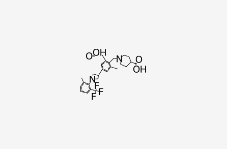 Cc1cc(C2CN(c3c(C)cccc3C(F)(F)F)C2)cc(C)c1CN1CCC(C(=O)O)CC1.O=CO